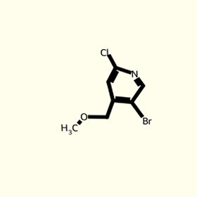 COCc1cc(Cl)ncc1Br